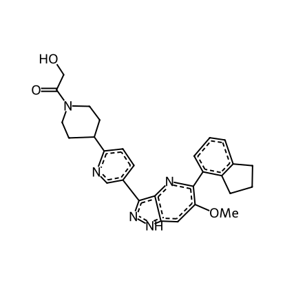 COc1cc2[nH]nc(-c3ccc(C4CCN(C(=O)CO)CC4)nc3)c2nc1-c1cccc2c1CCC2